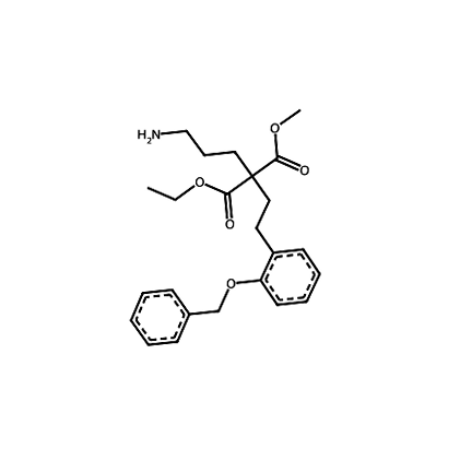 CCOC(=O)C(CCCN)(CCc1ccccc1OCc1ccccc1)C(=O)OC